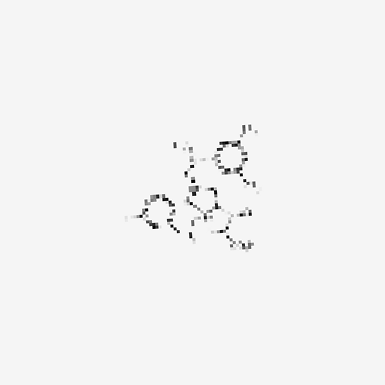 Cc1cc(F)ccc1[C@@H]1[C@@H](O[C@H](C)c2cc(C(F)(F)F)cc(C(F)(F)F)c2)CN2C(=O)C(C(=O)O)C[C@@H]12